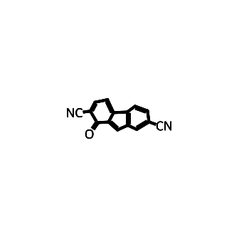 N#CC1=CC=C2C(=Cc3cc(C#N)ccc32)C1=O